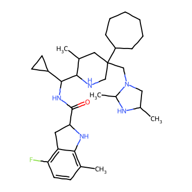 Cc1ccc(F)c2c1NC(C(=O)NC(C1CC1)C1NCC(CN3CC(C)NC3C)(C3CCCCCC3)CC1C)C2